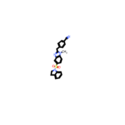 Cn1c(Cc2ccc(C#N)cc2)nc2cc(S(=O)(=O)N3CCc4ccccc43)ccc21